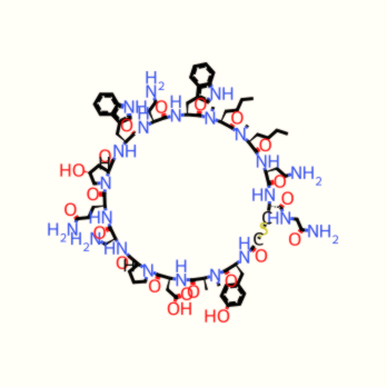 CCCC[C@H]1C(=O)N(C)[C@@H](CCCC)C(=O)N[C@@H](CCN)C(=O)N[C@H](C(=O)NCC(N)=O)CSCC(=O)N[C@@H](Cc2ccc(O)cc2)C(=O)N(C)[C@@H](C)C(=O)N[C@@H](CC(=O)O)C(=O)N2CCC[C@H]2C(=O)N[C@@H](CN)C(=O)N[C@@H](CCC(N)=O)C(=O)N2C[C@H](O)C[C@H]2C(=O)N[C@@H](Cc2c[nH]c3ccccc23)C(=O)N[C@@H](CCN)C(=O)N[C@@H](Cc2c[nH]c3ccccc23)C(=O)N1C